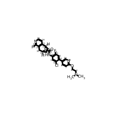 CN(C)CCOc1ccc(-c2cc(F)c(NC(=O)N3[C@H]4CC[C@@H]3c3ccnc(F)c3C4)cc2Cl)cn1